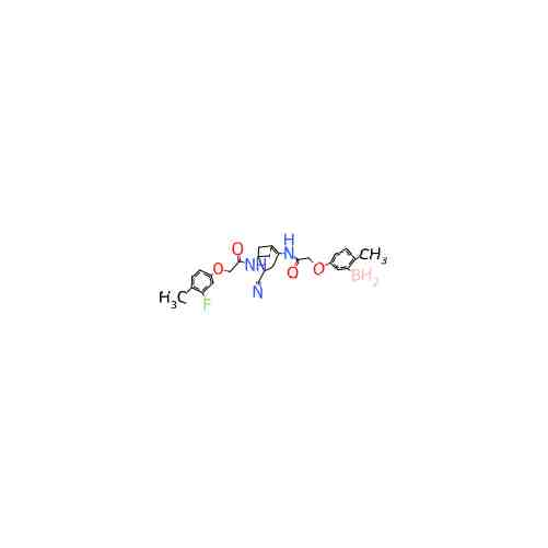 Bc1cc(OCC(=O)NC2=C3CC(NC(=O)COc4ccc(C)c(F)c4)(C3)C(C#N)C2)ccc1C